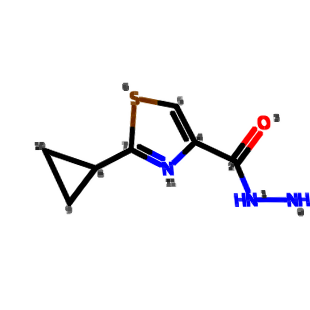 NNC(=O)c1csc(C2CC2)n1